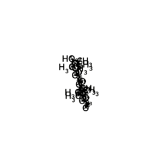 CC1(C)CC(O)CC(C)(C)N1CCOC(=O)CCC(=O)OCCN1C(C)(C)CC(OC(=O)C2CC2=O)CC1(C)C